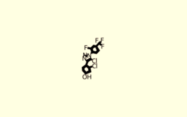 Oc1ccc(-c2nnn(-c3ccc(C(F)(F)F)cc3F)c2Cl)c(Cl)c1